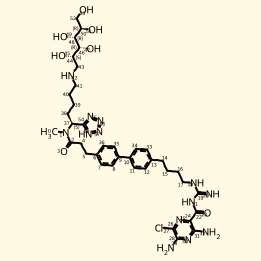 CN(C(=O)CCc1ccc(-c2ccc(CCCCNC(=N)NC(=O)c3nc(Cl)c(N)nc3N)cc2)cc1)[C@@H](CCCCNC[C@H](O)[C@@H](O)[C@H](O)[C@H](O)CO)c1nnn[nH]1